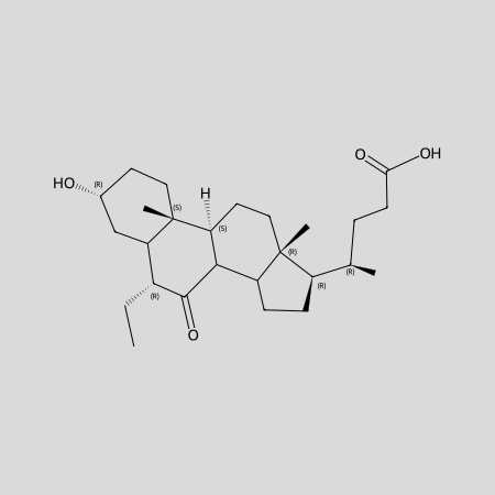 CC[C@H]1C(=O)C2C3CC[C@H]([C@H](C)CCC(=O)O)[C@@]3(C)CC[C@@H]2[C@@]2(C)CC[C@@H](O)CC12